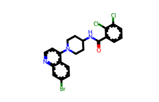 O=C(NC1CCN(c2ccnc3cc(Br)ccc23)CC1)c1cccc(Cl)c1Cl